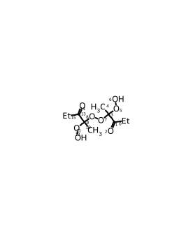 CCC(=O)C(C)(OO)OOC(C)(OO)C(=O)CC